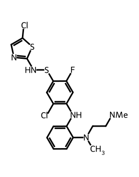 CNCCN(C)c1ccccc1Nc1cc(F)c(SNc2ncc(Cl)s2)cc1Cl